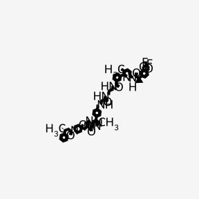 Cc1ccc(NC(=O)C2(c3ccc4c(c3)OC(F)(F)O4)CC2)nc1-c1cccc(C(=O)NCCCNC(=O)CNCc2ccc(-c3c4ncn(CC5(O)CCN(C(=O)C[C@@H](C)c6ccccc6)CC5)c(=O)c4nn3C)cc2)c1